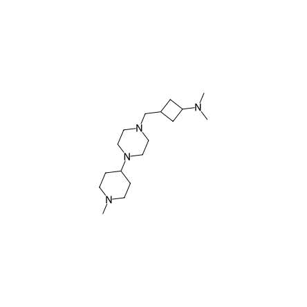 CN1CCC(N2CCN(CC3CC(N(C)C)C3)CC2)CC1